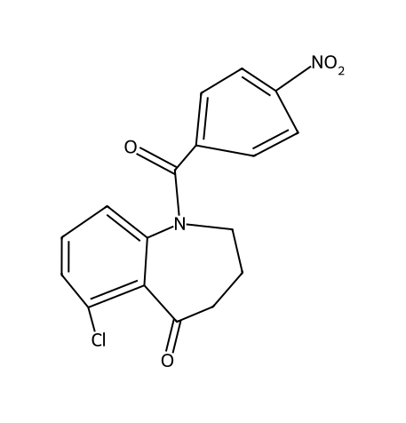 O=C1CCCN(C(=O)c2ccc([N+](=O)[O-])cc2)c2cccc(Cl)c21